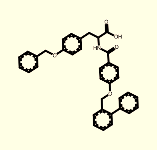 O=C(NC(Cc1ccc(OCc2ccccc2)cc1)C(=O)O)c1ccc(OCc2ccccc2-c2ccccc2)cc1